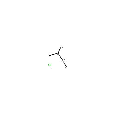 [CH3][Al+][CH](C)C.[Cl-]